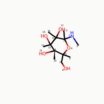 CNC1(C)OC(C)(CO)[C@](C)(O)C(C)(O)C1(C)O